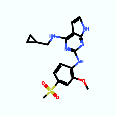 COc1cc(S(C)(=O)=O)ccc1Nc1nc(NCC2CC2)c2cc[nH]c2n1